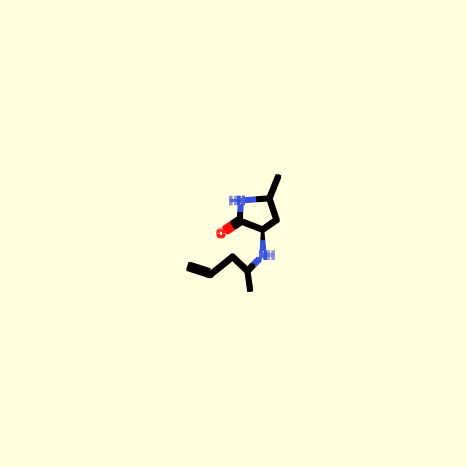 C=CCC(C)N[C@@H]1CC(C)NC1=O